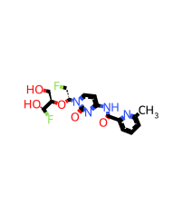 Cc1cccc(C(=O)Nc2ccn([C@@H](CF)O[C@H](CO)[C@@H](O)F)c(=O)n2)n1